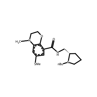 CCCCN1CCC[C@H]1CNC(=O)c1cc(SC)cc2c1OCCN2C